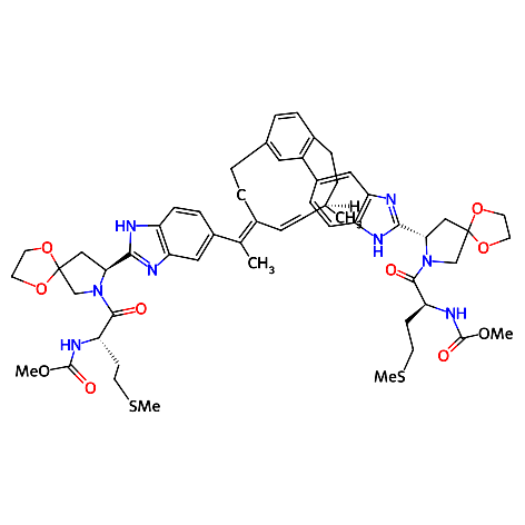 COC(=O)N[C@@H](CCSC)C(=O)N1CC2(C[C@H]1c1nc3cc(/C(C)=C4/C=C\[C@H](C)CCc5ccc(cc5-c5ccc6[nH]c([C@@H]7CC8(CN7C(=O)[C@H](CCSC)NC(=O)OC)OCCO8)nc6c5)CC4)ccc3[nH]1)OCCO2